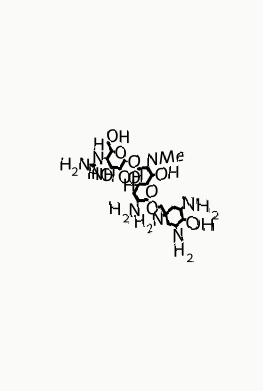 CNC1C(O[C@H]2OC(CO)[C@@H](NC(=N)N)C(O)C2O)O[C@H]2CC(N)[C@@H](OCC3(N)CC(N)C(O)[C@H](N)C3)OC2C1O